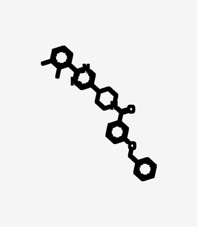 Cc1cccc(-c2ncc(C3CCN(C(=O)c4cccc(OCc5ccccc5)c4)CC3)cn2)c1C